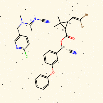 C/C(=N\C#N)N(C)Cc1ccc(Cl)nc1.CC1(C)[C@H](C(=O)O[C@H](C#N)c2cccc(Oc3ccccc3)c2)[C@@H]1C=C(Br)Br